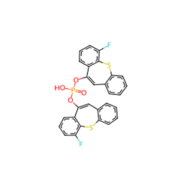 O=P(O)(OC1=Cc2ccccc2Sc2c(F)cccc21)OC1=Cc2ccccc2Sc2c(F)cccc21